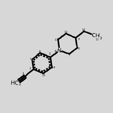 C#Cc1ccc(N2CCC(CC)CC2)cc1